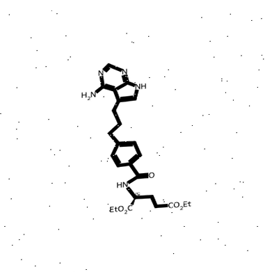 CCOC(=O)CC[C@H](NC(=O)c1ccc(CCCc2c[nH]c3ncnc(N)c23)cc1)C(=O)OCC